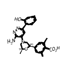 Cc1cc([C@@H]2CN(c3cc(-c4ccccc4O)nnc3N)C[C@H](C)O2)cc(C)c1C(=O)O